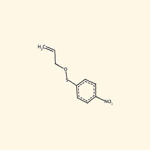 C=CCOSc1ccc([N+](=O)[O-])cc1